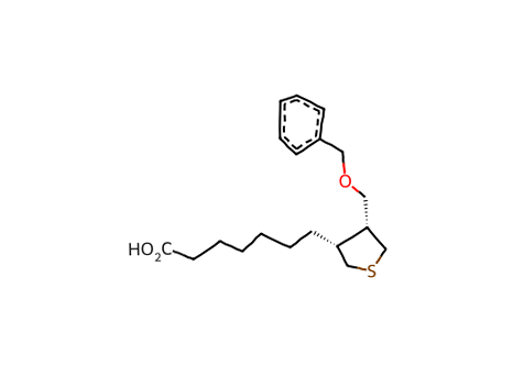 O=C(O)CCCCCC[C@H]1CSC[C@H]1COCc1ccccc1